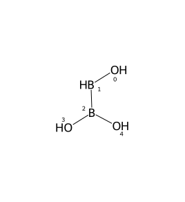 OBB(O)O